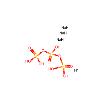 O=P(O)(O)OP(=O)(O)OP(=O)(O)O.[H+].[NaH].[NaH].[NaH]